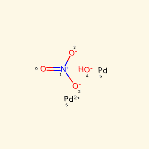 O=[N+]([O-])[O-].[OH-].[Pd+2].[Pd]